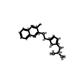 Cc1nc2ccccc2nc1OCc1ccc(OP(O)O)o1